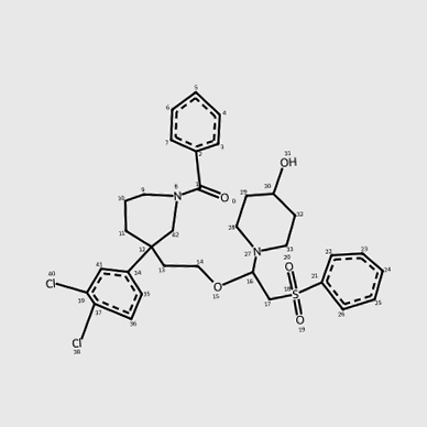 O=C(c1ccccc1)N1CCCC(CCOC(CS(=O)(=O)c2ccccc2)N2CCC(O)CC2)(c2ccc(Cl)c(Cl)c2)C1